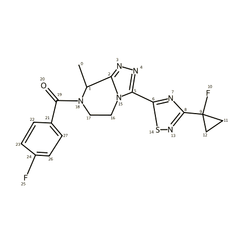 CC1c2nnc(-c3nc(C4(F)CC4)ns3)n2CCN1C(=O)c1ccc(F)cc1